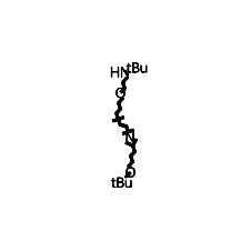 CC(C)(C)COCCCCC1CN(C(C)(C)CCC(C)(C)CCCCOCCCNC(C)(C)C)C1